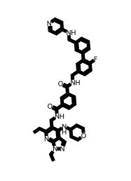 CCc1nc2c(cnn2CC)c(NC2CCOCC2)c1CNC(=O)c1cccc(C(=O)NCc2ccc(F)c(-c3cccc(CNc4ccncc4)c3)c2)c1